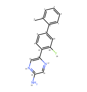 [CH2]c1ccccc1-c1ccc(-c2cnc(N)cn2)c(F)c1